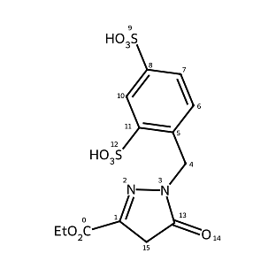 CCOC(=O)C1=NN(Cc2ccc(S(=O)(=O)O)cc2S(=O)(=O)O)C(=O)C1